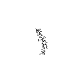 Cc1ncc(-c2ccc3cnc(NC(=O)CCN4CCN(C)CC4)cc3c2)o1